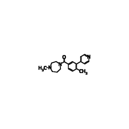 Cc1ccc(C(=O)N2CCCN(C)CC2)cc1-c1ccncc1